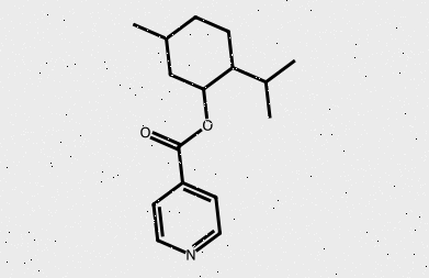 CC1CCC(C(C)C)C(OC(=O)c2ccncc2)C1